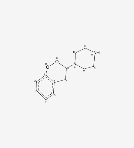 c1ccc2c(c1)CC(N1CCNCC1)OO2